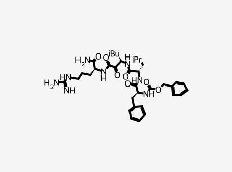 CC[C@H](C)C(NC(=O)[C@H](CC(C)C)NC(=O)[C@H](Cc1ccccc1)NC(=O)OCc1ccccc1)C(=O)C(=O)N[C@@H](CCCNC(=N)N)C(N)=O